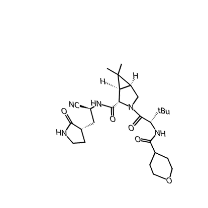 CC(C)(C)[C@H](NC(=O)C1CCOCC1)C(=O)N1C[C@H]2[C@@H]([C@H]1C(=O)N[C@H](C#N)C[C@@H]1CCNC1=O)C2(C)C